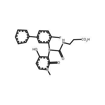 Cn1ccc(O)c(N(C(=O)NCCC(=O)O)c2cc(-c3ccccc3)ccc2F)c1=O